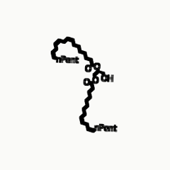 CCCCC/C=C\C/C=C\C/C=C\CCCCCCC(=O)O[C@@H](CO)COC(=O)CCCCCCC/C=C\C/C=C\CCCCC